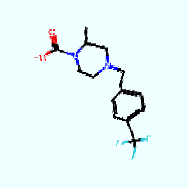 CC1CN(Cc2ccc(C(F)(F)F)cc2)CCN1C(=O)O